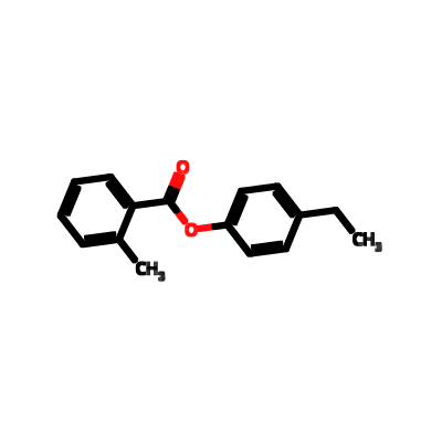 CCc1ccc(OC(=O)c2ccccc2C)cc1